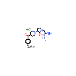 COc1ccc(C(=O)C2CCN(C3CCN(CC(=N)N)C3=O)CC2)cc1.Cl